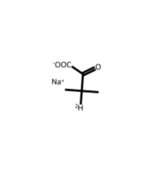 [2H]C(C)(C)C(=O)C(=O)[O-].[Na+]